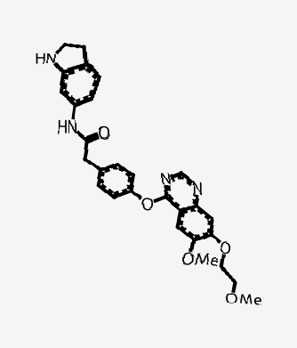 COCCOc1cc2ncnc(Oc3ccc(CC(=O)Nc4ccc5c(c4)NCC5)cc3)c2cc1OC